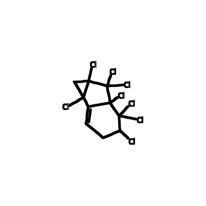 ClC1CC=C2C3(Cl)CC3(Cl)C(Cl)(Cl)C2(Cl)C1(Cl)Cl